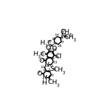 CSc1cc(C)[nH]c(=O)c1CN1CCc2c(Cl)c3c(c(C)c2C1=O)OC(C)([C@H]1CC[C@H](N(C)C)CC1)O3